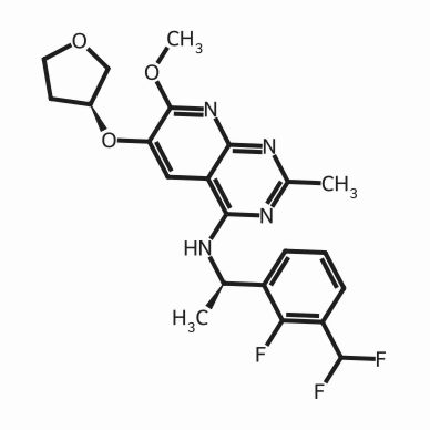 COc1nc2nc(C)nc(N[C@H](C)c3cccc(C(F)F)c3F)c2cc1O[C@H]1CCOC1